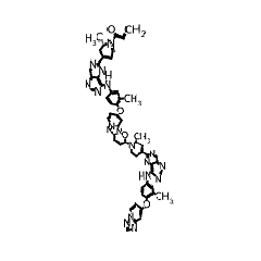 C=CC(=O)N1CC=C(c2ncc3ncnc(Nc4ccc(Oc5ccn6nc(/C=C\C(=O)N7CCC(c8ncc9ncnc(Nc%10ccc(Oc%11ccn%12ncnc%12c%11)c(C)c%10)c9n8)=C[C@@H]7C)nc6c5)c(C)c4)c3n2)C[C@@H]1C